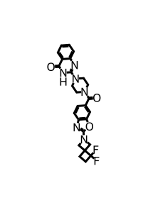 O=C(c1ccc2nc(N3CC4(CCC4(F)F)C3)oc2c1)N1CCN(c2nc3ccccc3c(=O)[nH]2)CC1